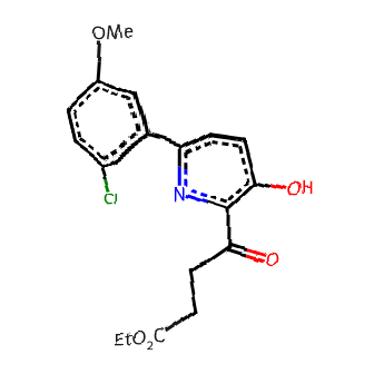 CCOC(=O)CCC(=O)c1nc(-c2cc(OC)ccc2Cl)ccc1O